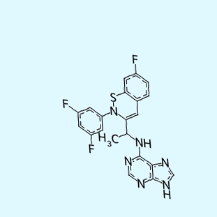 CC(Nc1ncnc2[nH]cnc12)C1=Cc2ccc(F)cc2SN1c1cc(F)cc(F)c1